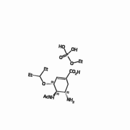 CCC(CC)O[C@@H]1C=C(C(=O)O)C[C@H](N)[C@H]1NC(C)=O.CCOP(=O)(O)O